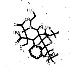 CCCN1C(C)C(C(=O)O)(C(F)(C(F)(F)C(F)(F)F)C(F)(F)C(F)(F)C(F)(F)F)C(c2cccc([N+](=O)[O-])c2)C(CC)(C(=O)O)C1(C)C(C)=O